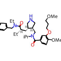 CC[C@@H](C[C@@H]1CNC[C@H]1CN(C(=O)c1ccc(OC)c(OCCCOC)c1)C(C)C)C(=O)N(CC)Cc1ccccc1